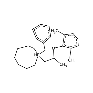 Cc1cccc(C)c1OC(C)C[PH]1(Cc2ccccc2)CCCCCCC1